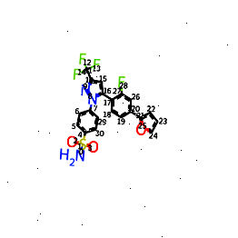 NS(=O)(=O)c1ccc(-n2nc(C(F)(F)F)cc2-c2ccc(-c3ccco3)cc2F)cc1